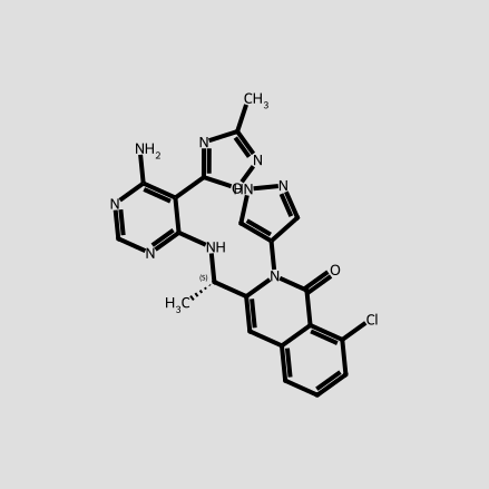 Cc1noc(-c2c(N)ncnc2N[C@@H](C)c2cc3cccc(Cl)c3c(=O)n2-c2cn[nH]c2)n1